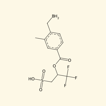 BCc1ccc(C(=O)OC(CS(=O)(=O)O)C(F)(F)F)cc1C